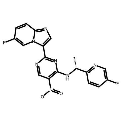 C[C@@H](Nc1nc(-c2cnc3ccc(F)cn23)ncc1[N+](=O)[O-])c1ccc(F)cn1